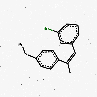 CC(=Cc1cccc(Br)c1)c1ccc(CC(C)C)cc1